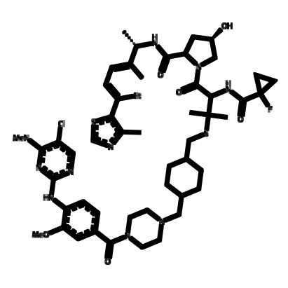 CC/C(=C\C=C(/C)[C@H](C)NC(=O)C1C[C@@H](O)CN1C(=O)C(NC(=O)C1(F)CC1)C(C)(C)SCC1CCC(CN2CCN(C(=O)c3ccc(Nc4ncc(Cl)c(NC)n4)c(OC)c3)CC2)CC1)c1scnc1C